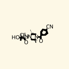 C[C@@H]1CN(C(=O)c2ccc(C#N)cc2)[C@@H](C)CN1NC(=O)[C@@](C)(O)C(F)(F)F